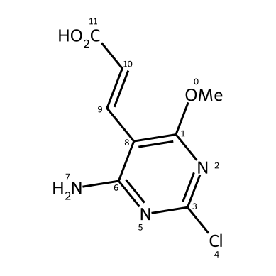 COc1nc(Cl)nc(N)c1/C=C/C(=O)O